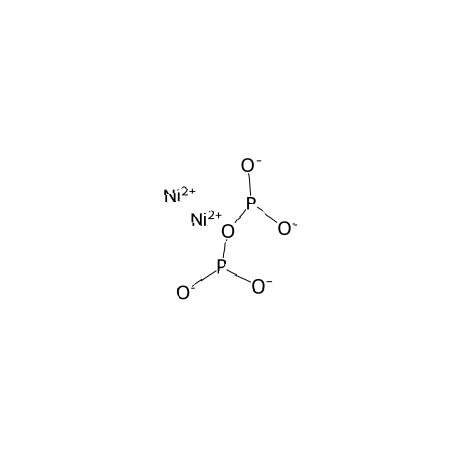 [Ni+2].[Ni+2].[O-]P([O-])OP([O-])[O-]